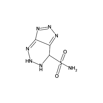 NS(=O)(=O)C1NNN=C2N=NN=C21